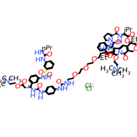 CCCNC(=O)Nc1cccc(S(=O)(=O)Nc2cccc([C@@H](CC(=O)OCC[N+](C)(C)C)NC(=O)Nc3ccc(NC(=O)NCCOCCOCCOCCC(=O)N[C@@H](CC(=O)OCC[N+](C)(C)C)C(=O)N4CCC[C@H]4C(=O)N[C@H](C(=O)O[C@]4(CC)C(=O)OCc5c4cc4n(c5=O)Cc5c-4nc4ccccc4c5CC)C(C)C)cc3)c2)c1.[Cl-].[Cl-]